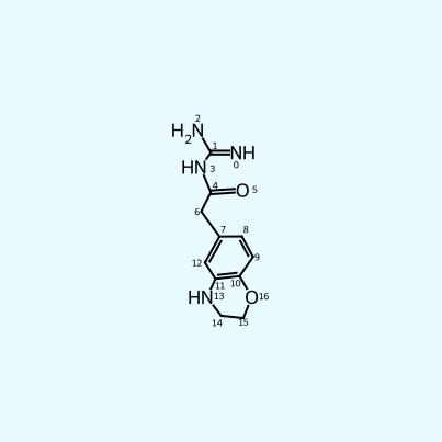 N=C(N)NC(=O)Cc1ccc2c(c1)NCCO2